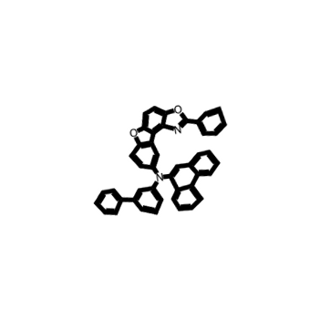 c1ccc(-c2cccc(N(c3ccc4oc5ccc6oc(-c7ccccc7)nc6c5c4c3)c3cc4ccccc4c4ccccc34)c2)cc1